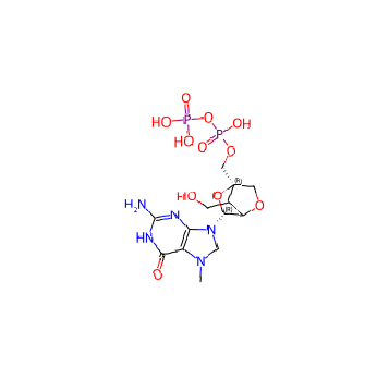 CN1CN([C@@H]2O[C@@]3(COP(=O)(O)OP(=O)(O)O)COC2C3CO)c2nc(N)[nH]c(=O)c21